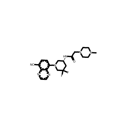 CN1CCN(CC(=O)N[C@H]2CN(c3ccc(C#N)c4nccnc34)CC(F)(F)C2)CC1